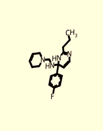 CCCC1=NC=CC(NCN2CC=CCC2)(c2ccc(F)cc2)N1